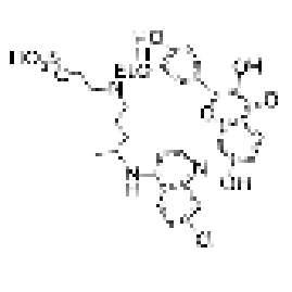 CCN(CCCC(C)Nc1ccnc2cc(Cl)ccc12)CCOS(=O)(=O)O.O=c1c(O)c(-c2ccc(O)c(O)c2)oc2cc(O)ccc12